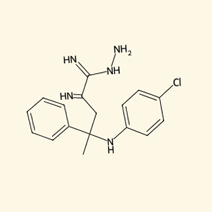 CC(CC(=N)C(=N)NN)(Nc1ccc(Cl)cc1)c1ccccc1